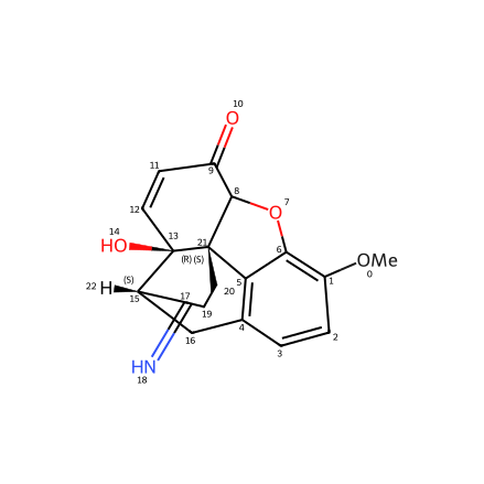 COc1ccc2c3c1OC1C(=O)C=C[C@@]4(O)[C@@H](C2)C(=N)CC[C@]314